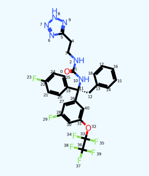 O=C(NCCc1nn[nH]n1)N[C@](Cc1ccccc1)(c1ccc(F)cc1)c1cc(F)cc(OC(F)(F)C(F)(F)F)c1